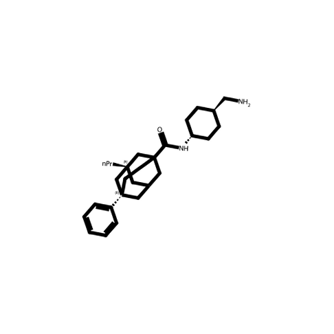 CCC[C@]12CC3CC(C(=O)N[C@H]4CC[C@H](CN)CC4)(C1)C[C@@](c1ccccc1)(C3)C2